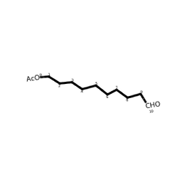 CC(=O)OCCCCCCCCCC=O